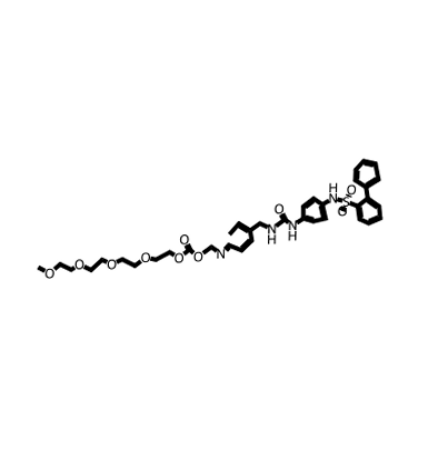 C\C=C(/C=C\C=N\COC(=O)OCCOCCOCCOCCOC)CNC(=O)Nc1ccc(NS(=O)(=O)c2ccccc2-c2ccccc2)cc1